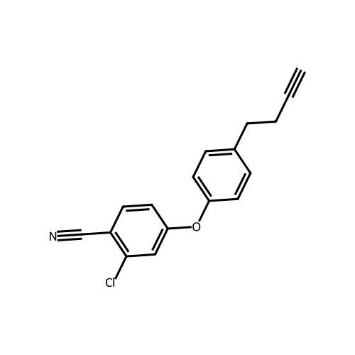 C#CCCc1ccc(Oc2ccc(C#N)c(Cl)c2)cc1